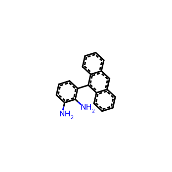 Nc1cccc(-c2c3ccccc3cc3ccccc23)c1N